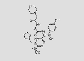 COc1ccc([C@@H](O)[C@H](NC(=O)[C@H](C)NC(=O)CN2CCOCC2)C(=O)N[C@@H](CC2=CCCC2)C(=O)[C@@]2(C)CO2)cc1